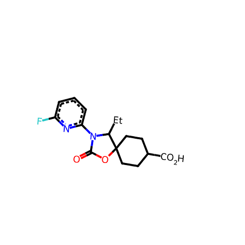 CCC1N(c2cccc(F)n2)C(=O)OC12CCC(C(=O)O)CC2